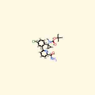 CN(C(=O)OC(C)(C)C)C1(c2ccc(Cl)cc2-c2cccc(C(N)=O)n2)CC1